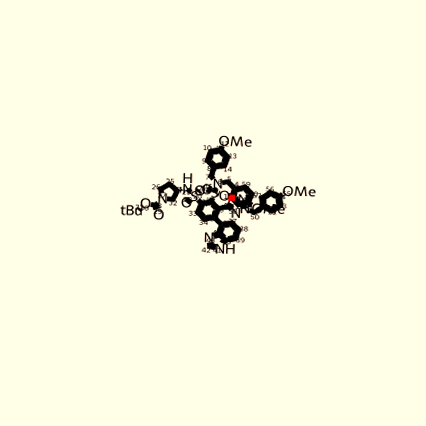 COc1ccc(CN(Cc2ccc(OC)cc2)S(=O)(=O)c2c(S(=O)(=O)N[C@H]3CCN(C(=O)OC(C)(C)C)C3)ccc(-c3cccc4[nH]cnc34)c2-c2nnn(Cc3ccc(OC)cc3)n2)cc1